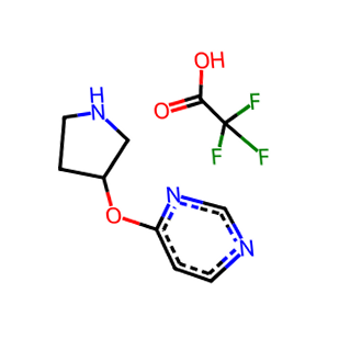 O=C(O)C(F)(F)F.c1cc(OC2CCNC2)ncn1